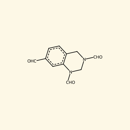 O=Cc1ccc2c(c1)N(C=O)CN(C=O)C2